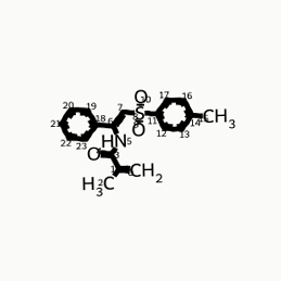 C=C(C)C(=O)NC(=CS(=O)(=O)c1ccc(C)cc1)c1ccccc1